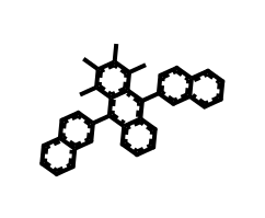 Cc1c(C)c(C)c2c(-c3ccc4ccccc4c3)c3ccccc3c(-c3ccc4ccccc4c3)c2c1C